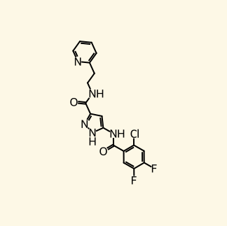 O=C(NCCc1ccccn1)c1cc(NC(=O)c2cc(F)c(F)cc2Cl)[nH]n1